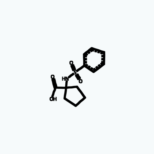 O=C(O)C1(NS(=O)(=O)c2ccccc2)CCCC1